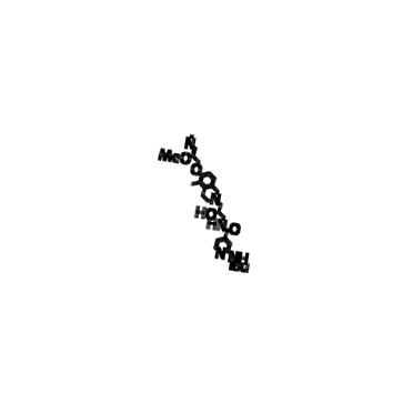 C=N/C=C(/COc1ccc2c(c1C)CCN(CC(O)CNC(=O)c1ccnc(NC(C)CC)c1)C2)OC